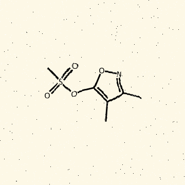 Cc1noc(OS(C)(=O)=O)c1C